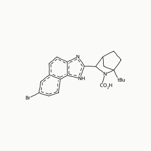 CC(C)(C)C12CCC(C1)C(c1nc3ccc4cc(Br)ccc4c3[nH]1)N2C(=O)O